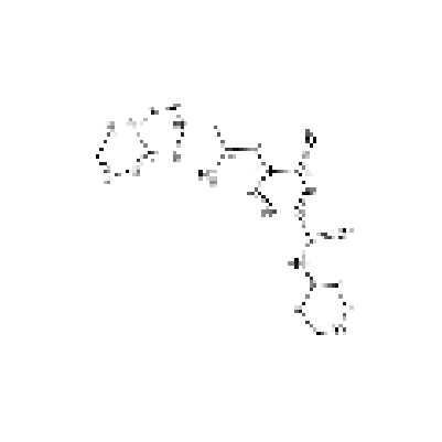 O=C(NC1CCOCC1)c1cc(=O)n(CC(O)CN2CCc3ccccc3C2)cn1